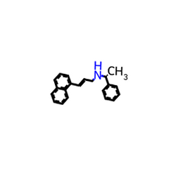 C[C@@H](NC/C=C/c1cccc2ccccc12)c1ccccc1